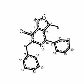 Cc1onc2c(=O)n(Cc3ccccc3)nc(-c3ccccc3)c12